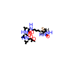 CC(C)C[C@H](NC(=O)CCCC[C@@H]1SC[C@@H]2NC(=O)N[C@@H]21)C(=O)N[C@@H](CC(C)C)C(=O)N[C@@H](CC(C)C)C(=O)C1(C)CO1